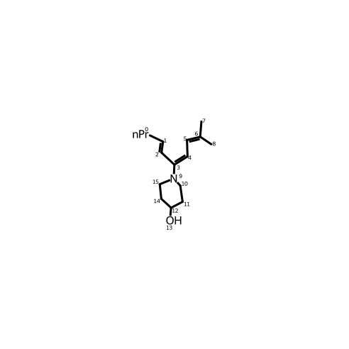 CCC/C=C/C(=C\C=C(C)C)N1CCC(O)CC1